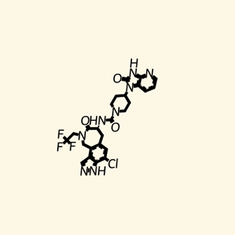 O=C(N[C@@H]1Cc2cc(Cl)c3[nH]ncc3c2CN(CC(F)(F)F)C1=O)N1CCC(n2c(=O)[nH]c3ncccc32)CC1